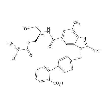 CCCc1nc2c(C)cc(C(=O)N[C@@H](CSC(=O)[C@@H](N)CC)CC(C)C)cc2n1Cc1ccc(-c2ccccc2C(=O)O)cc1